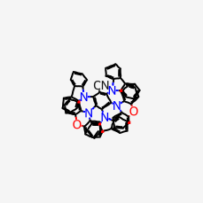 N#Cc1c(-n2c3ccccc3c3ccccc32)c(N2c3ccccc3Oc3ccccc32)c(-n2c3ccccc3c3ccccc32)c(N2c3ccccc3Oc3ccccc32)c1-n1c2ccccc2c2ccccc21